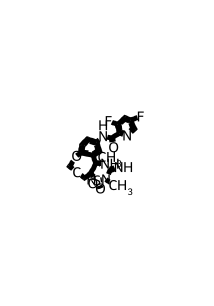 CN1C(=N)N[C@]2(C)c3cc(NC(=O)c4ncc(F)cc4F)ccc3OCCC[C@@H]2S1(=O)=O